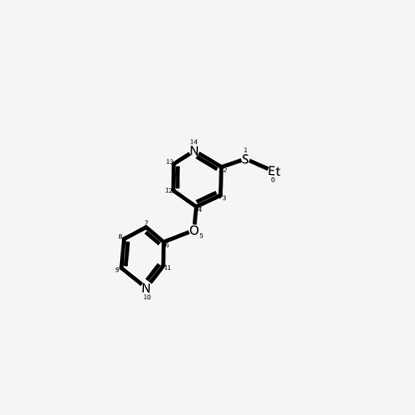 CCSc1[c]c(Oc2cccnc2)ccn1